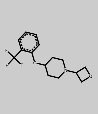 FC(F)(F)c1ccccc1OC1CCN(C2COC2)CC1